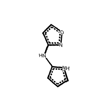 c1c[nH]c(Nc2ccon2)c1